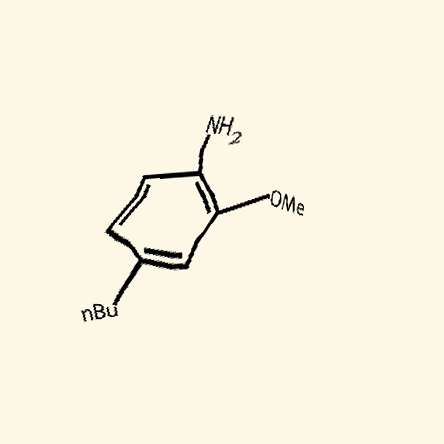 CCCCc1ccc(N)c(OC)c1